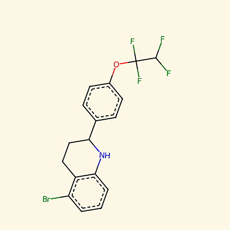 FC(F)C(F)(F)Oc1ccc(C2CCc3c(Br)cccc3N2)cc1